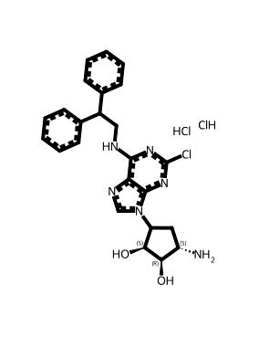 Cl.Cl.N[C@H]1CC(n2cnc3c(NCC(c4ccccc4)c4ccccc4)nc(Cl)nc32)[C@H](O)[C@@H]1O